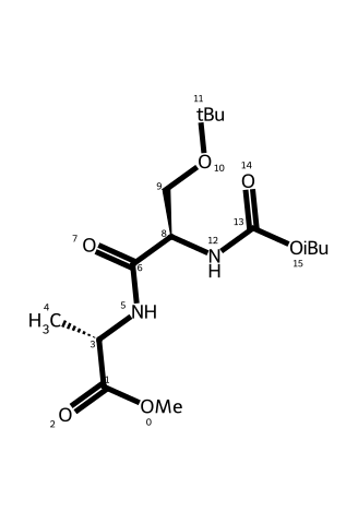 COC(=O)[C@H](C)NC(=O)[C@@H](COC(C)(C)C)NC(=O)OCC(C)C